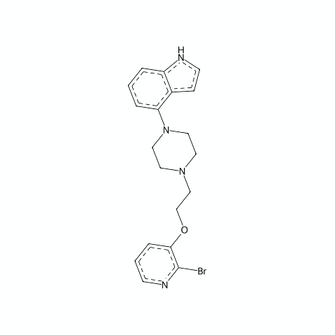 Brc1ncccc1OCCN1CCN(c2cccc3[nH]ccc23)CC1